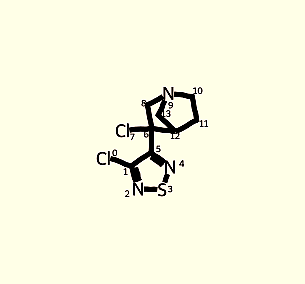 Clc1nsnc1C1(Cl)CN2CCC1C2